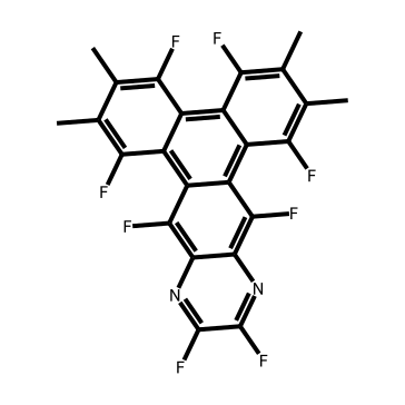 Cc1c(C)c(F)c2c(c1F)c1c(F)c(C)c(C)c(F)c1c1c(F)c3nc(F)c(F)nc3c(F)c21